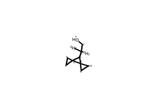 [2H]C([2H])(CO)C1C2(CC2)C12CC2